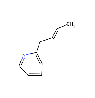 [CH2]C=CCc1ccccn1